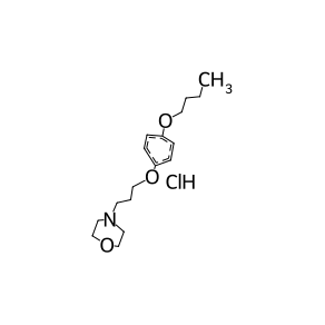 CCCCOc1ccc(OCCCN2CCOCC2)cc1.Cl